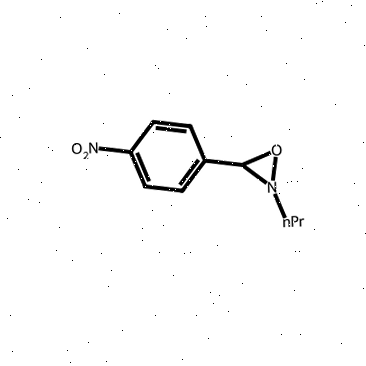 CCCN1OC1c1ccc([N+](=O)[O-])cc1